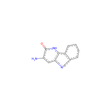 Nc1cc2ncc3ccccc3c2[nH]c1=O